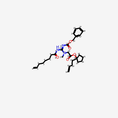 C=CCCCCCC(=O)N/C(=N/C(=O)OCc1ccccc1)N(C)CC(=O)OC1(CCC=C)CCCC1